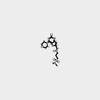 CN(C)S(=O)(=O)CCCNCc1cc2nc(Cl)nc(N3CCOCC3)c2s1